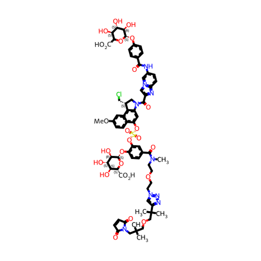 COc1ccc2c(OS(=O)(=O)Oc3cc(C(=O)N(C)CCOCCn4cc(C(C)(C)COCC(C)(C)CN5C(=O)C=CC5=O)nn4)ccc3O[C@@H]3O[C@H](C(=O)O)[C@@H](O)[C@H](O)[C@H]3O)cc3c(c2c1)[C@H](CCl)CN3C(=O)c1cn2cc(NC(=O)c3ccc(O[C@@H]4OC(C(=O)O)[C@@H](O)[C@H](O)[C@H]4O)cc3)ccc2n1